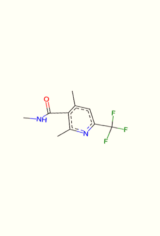 CNC(=O)c1c(C)cc(C(F)(F)F)nc1C